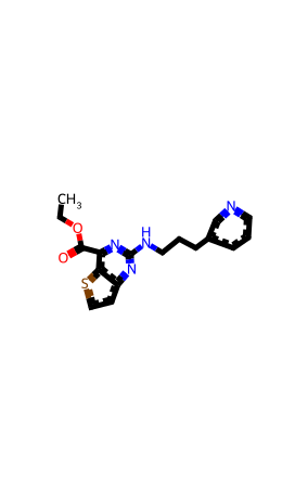 CCOC(=O)c1nc(NCCCc2cccnc2)nc2ccsc12